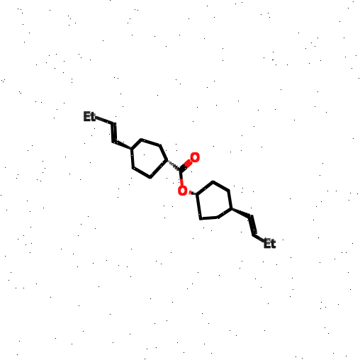 CCC=C[C@H]1CC[C@H](OC(=O)[C@H]2CC[C@H](C=CCC)CC2)CC1